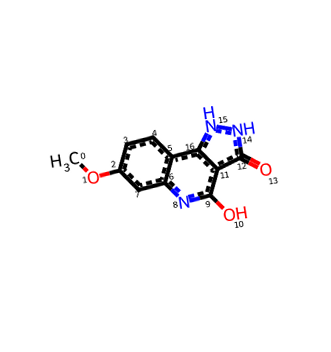 COc1ccc2c(c1)nc(O)c1c(=O)[nH][nH]c12